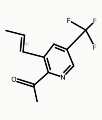 C/C=C/c1cc(C(F)(F)F)cnc1C(C)=O